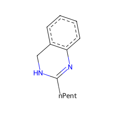 CCCCCC1=Nc2ccccc2CN1